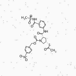 CC(=O)S[C@H]1C[C@@H](C(=O)Nc2cccc(C(=O)NS(C)(=O)=O)c2)N(C(=O)OCc2ccc([N+](=O)[O-])cc2)C1